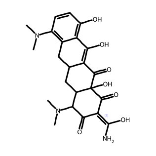 CN(C)c1ccc(O)c2c1CC1CC3C(N(C)C)C(=O)/C(=C(\N)O)C(=O)C3(O)C(=O)C1=C2O